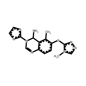 Cc1c(Sc2nncn2C)ccc2c1C(N)N(c1nccs1)C=N2